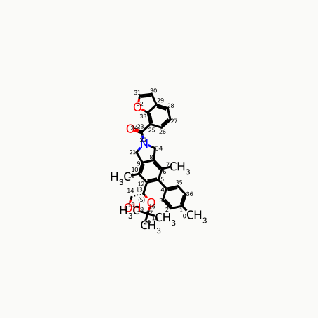 Cc1ccc(-c2c(C)c3c(c(C)c2[C@@H](CO)OC(C)(C)C)CN(C(=O)c2cccc4ccoc24)C3)cc1